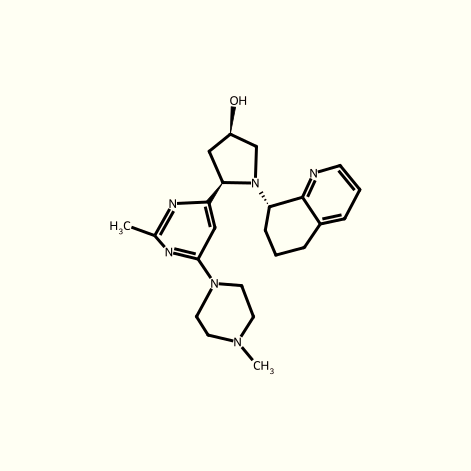 Cc1nc([C@H]2C[C@@H](O)CN2[C@H]2CCCc3cccnc32)cc(N2CCN(C)CC2)n1